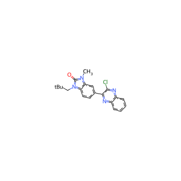 Cn1c(=O)n(CC(C)(C)C)c2ccc(-c3nc4ccccc4nc3Cl)cc21